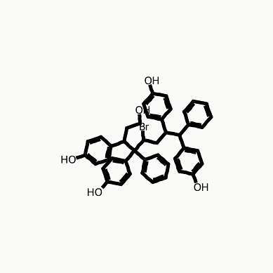 OCCC(c1ccc(O)cc1)C(c1ccccc1)(c1ccc(O)cc1)C(Br)CC(c1ccc(O)cc1)C(c1ccccc1)c1ccc(O)cc1